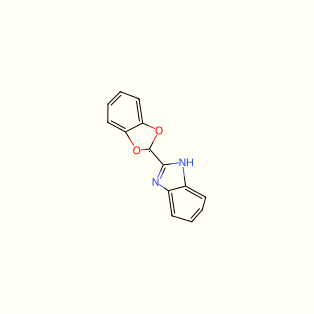 c1ccc2c(c1)O[C](c1nc3ccccc3[nH]1)O2